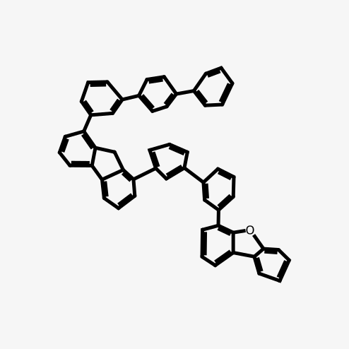 c1ccc(-c2ccc(-c3cccc(-c4cccc5c4Cc4c(-c6cccc(-c7cccc(-c8cccc9c8oc8ccccc89)c7)c6)cccc4-5)c3)cc2)cc1